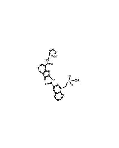 CS(=O)(=O)CCc1nc(C(=O)Nc2nc3c(C(=O)Nc4ncc[nH]4)cccc3[nH]2)cc2ccccc12